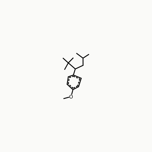 COc1ccc(C(CC(C)C)C(C)(C)C)cc1